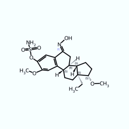 CC[C@]12CC[C@@H]3c4cc(OC)c(OS(N)(=O)=O)cc4/C(=N/O)C[C@H]3[C@@H]1CC[C@@H]2OC